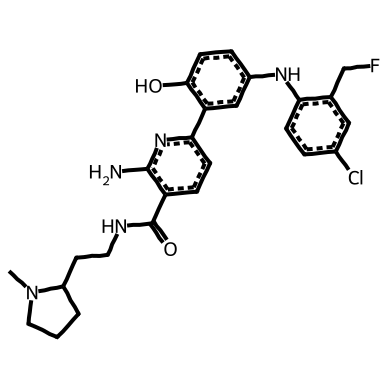 CN1CCCC1CCNC(=O)c1ccc(-c2cc(Nc3ccc(Cl)cc3CF)ccc2O)nc1N